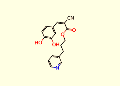 N#CC(=Cc1ccc(O)c(O)c1)C(=O)OCCCc1cccnc1